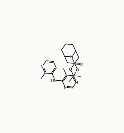 Cc1ncccc1Nc1ncnc(OC2CC3CCCC(C2)N3C(=O)OC(C)C)c1C